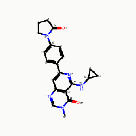 Cn1cnc2cc(-c3ccc(N4CCCC4=O)cc3)nc(NC3CC3)c2c1=O